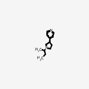 CCC(C)N1CCC(c2ccncc2)C1